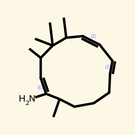 CC1CCC/C=C\C=C/C(C)C(C)(C)C(C)/C=C\1N